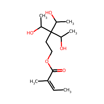 CC=C(C)C(=O)OCCC(C(C)O)(C(C)O)C(C)O